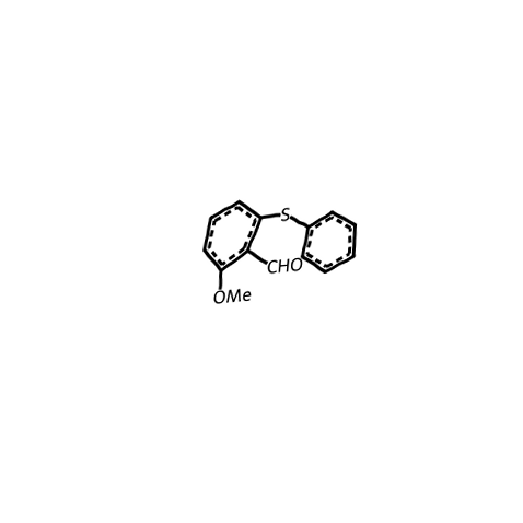 COc1cccc(Sc2ccccc2)c1C=O